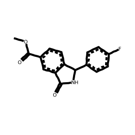 COC(=O)c1ccc2c(c1)C(=O)NC2c1ccc(F)cc1